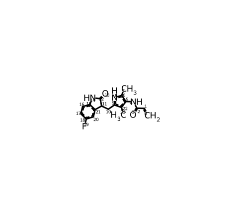 C=CC(=O)Nc1c(C)[nH]c(CC2C(=O)Nc3ccc(F)cc32)c1C